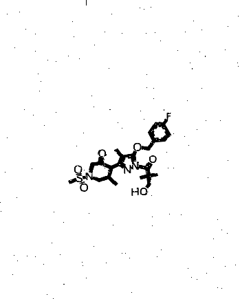 Cc1c(C2C(=O)CN(S(C)(=O)=O)CC2C)nn(C(=O)C(C)(C)CO)c1OCc1ccc(F)cc1